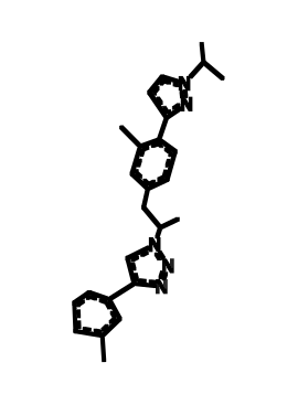 Cc1cccc(-c2cn(C(C)Cc3ccc(-c4ccn(C(C)C)n4)c(C)c3)nn2)c1